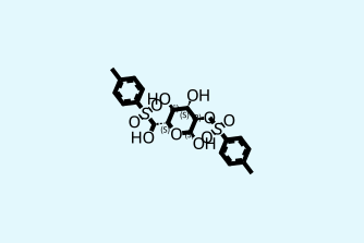 Cc1ccc(S(=O)(=O)O[C@@H]2[C@@H](O)[C@H](O)[C@@H](C(O)S(=O)(=O)c3ccc(C)cc3)O[C@@H]2O)cc1